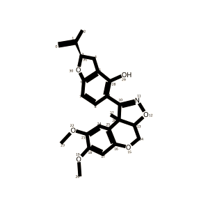 C=C(C)[C@H]1Cc2c(ccc(C3=NOC4COc5cc(OC)c(OC)cc5C34C)c2O)O1